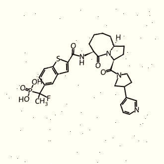 CC(F)(c1ccc2sc(C(=O)N[C@H]3CCCC[C@H]4CC[C@@H](C(=O)N5CCC(c6cccnc6)C5)N4C3=O)cc2c1)P(=O)(O)O